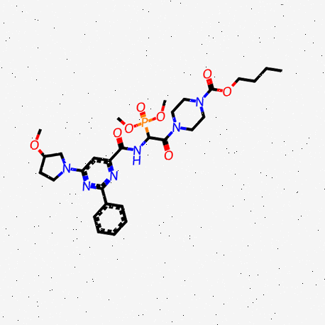 CCCCOC(=O)N1CCN(C(=O)C(NC(=O)c2cc(N3CCC(OC)C3)nc(-c3ccccc3)n2)P(=O)(OC)OC)CC1